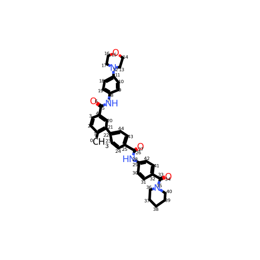 Cc1ccc(C(=O)Nc2ccc(N3CCOCC3)cc2)cc1-c1ccc(C(=O)Nc2ccc(C(=O)N3CCCCC3)cc2)cc1